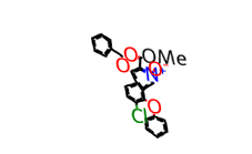 COC(=O)c1c(OCc2ccccc2)c2ccc(Cl)c(Oc3ccccc3)c2c[n+]1[O-]